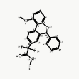 COc1cccc2c1-c1ccc(C(F)(F)C(=O)NF)cc1C(c1ccccc1)O2